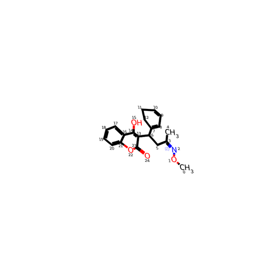 CO/N=C(/C)CC(C1=CC=CCC1)c1c(O)c2ccccc2oc1=O